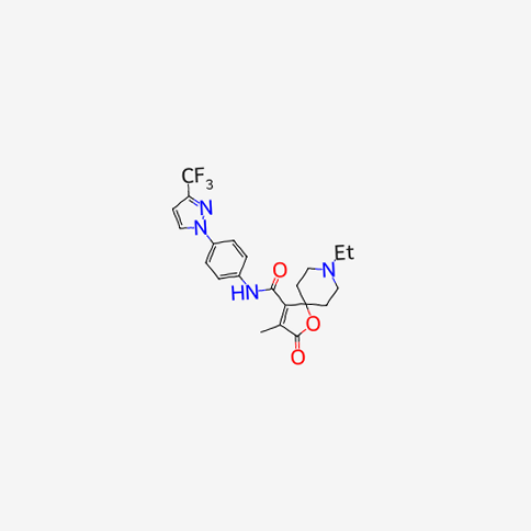 CCN1CCC2(CC1)OC(=O)C(C)=C2C(=O)Nc1ccc(-n2ccc(C(F)(F)F)n2)cc1